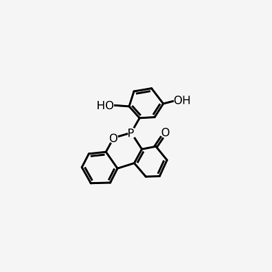 O=C1C=CCC2=C1P(c1cc(O)ccc1O)Oc1ccccc12